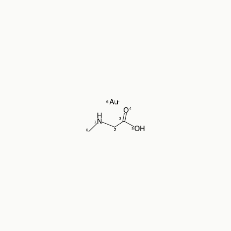 CNCC(=O)O.[Au]